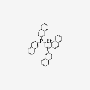 CCC(CP(c1ccc2ccccc2c1)c1ccc2ccccc2c1)P(c1ccc2ccccc2c1)c1ccc2ccccc2c1